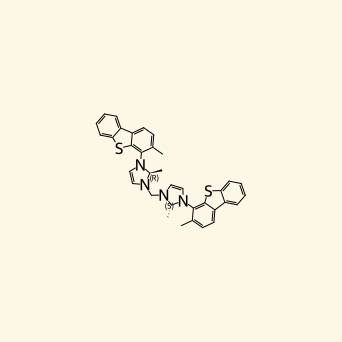 Cc1ccc2c(sc3ccccc32)c1N1C=CN(CN2C=CN(c3c(C)ccc4c3sc3ccccc34)[C@H]2C)[C@H]1C